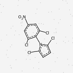 O=[N+]([O-])c1cc(Cl)c(-n2c(Cl)ccc2Cl)c(Cl)c1